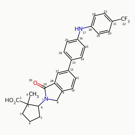 CC1(C(=O)O)CCCC1N1Cc2ccc(-c3ccc(Nc4ccc(C(F)(F)F)cc4)cc3)cc2C1=O